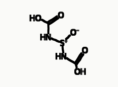 O=C(O)N[S+]([O-])NC(=O)O